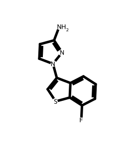 Nc1ccn(-c2csc3c(F)cccc23)n1